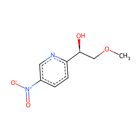 COC[C@H](O)c1ccc([N+](=O)[O-])cn1